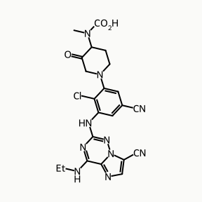 CCNc1nc(Nc2cc(C#N)cc(N3CCC(N(C)C(=O)O)C(=O)C3)c2Cl)nn2c(C#N)cnc12